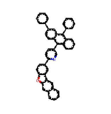 c1ccc(-c2ccc3c(-c4ccc(-c5ccc6oc7cc8ccccc8cc7c6c5)nc4)c4ccccc4c(-c4ccccc4)c3c2)cc1